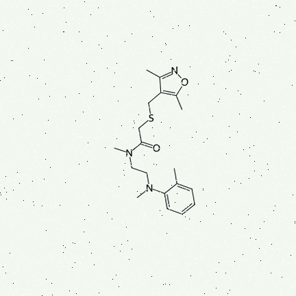 Cc1ccccc1N(C)CCN(C)C(=O)CSCc1c(C)noc1C